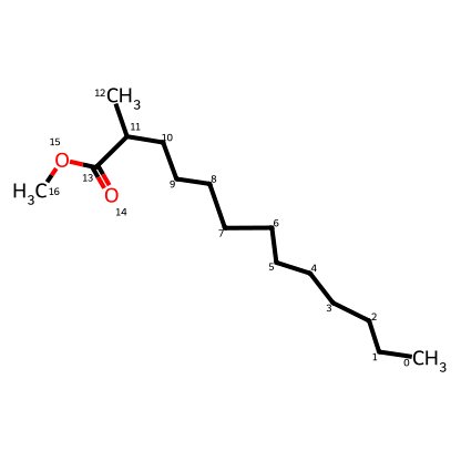 CCCCCCCCCCCC(C)C(=O)OC